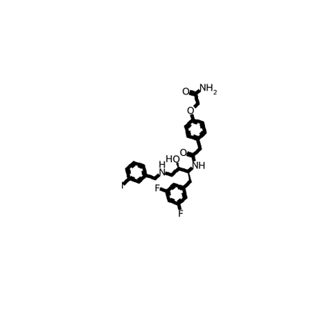 NC(=O)COc1ccc(CC(=O)N[C@@H](Cc2cc(F)cc(F)c2)[C@H](O)CNCc2cccc(I)c2)cc1